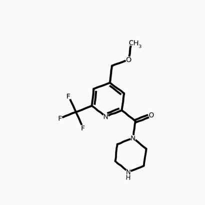 COCc1cc(C(=O)N2CCNCC2)nc(C(F)(F)F)c1